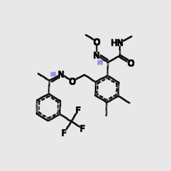 CNC(=O)/C(=N\OC)c1cc(C)c(C)cc1CO/N=C(/C)c1cccc(C(F)(F)F)c1